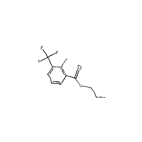 CCCOC(=O)c1cccc(C(F)(F)F)c1C